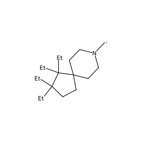 [CH]N1CCC2(CC1)CCC(CC)(CC)C2(CC)CC